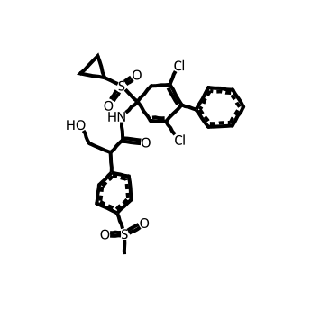 CS(=O)(=O)c1ccc(C(CO)C(=O)NC2(S(=O)(=O)C3CC3)C=C(Cl)C(c3ccccc3)=C(Cl)C2)cc1